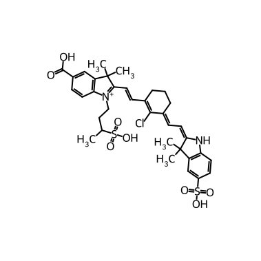 CC(CC[N+]1=C(/C=C/C2=C(Cl)C(=C/C=C3/Nc4ccc(S(=O)(=O)O)cc4C3(C)C)/CCC2)C(C)(C)c2cc(C(=O)O)ccc21)S(=O)(=O)O